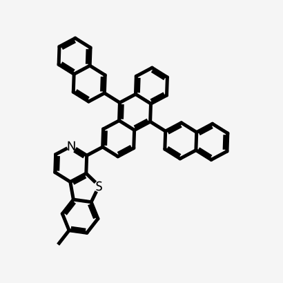 Cc1ccc2sc3c(-c4ccc5c(-c6ccc7ccccc7c6)c6ccccc6c(-c6ccc7ccccc7c6)c5c4)nccc3c2c1